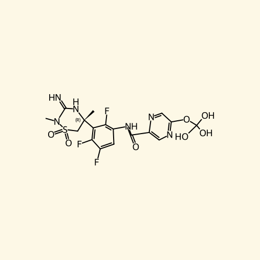 CN1C(=N)N[C@](C)(c2c(F)c(F)cc(NC(=O)c3cnc(OC(O)(O)O)cn3)c2F)CS1(=O)=O